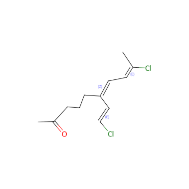 CC(=O)CCCC(=C/C=C(\C)Cl)/C=C/Cl